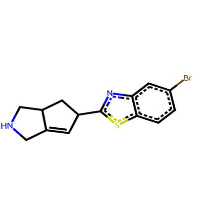 Brc1ccc2sc(C3C=C4CNCC4C3)nc2c1